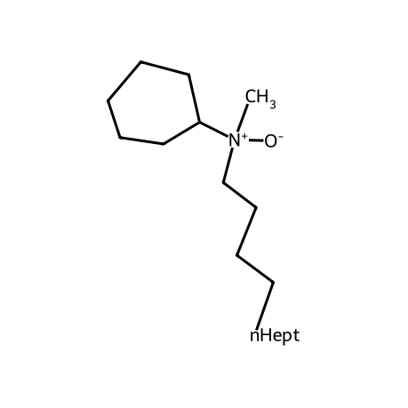 CCCCCCCCCCC[N+](C)([O-])C1CCCCC1